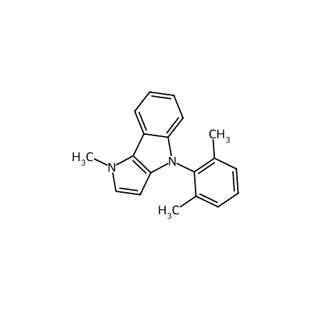 Cc1cccc(C)c1-n1c2ccccc2c2c1ccn2C